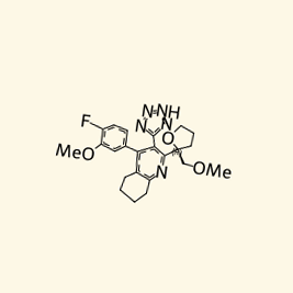 COC[C@]1(c2nc3c(c(-c4ccc(F)c(OC)c4)c2-c2nn[nH]n2)CCCC3)CCCO1